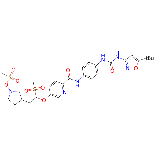 CC(C)(C)c1cc(NC(=O)Nc2ccc(NC(=O)c3ccc(OC(CC4CCN(OS(C)(=O)=O)C4)S(C)(=O)=O)cn3)cc2)no1